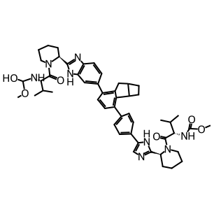 COC(=O)N[C@H](C(=O)N1CCCC[C@H]1c1ncc(-c2ccc(-c3ccc(-c4ccc5nc([C@@H]6CCCCN6C(=O)[C@@H](NC(O)OC)C(C)C)[nH]c5c4)c4c3C3CCC3C4)cc2)[nH]1)C(C)C